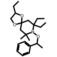 CCC1COC2(CC(C)(C)N(OC(C)c3ccccc3)C(CC)(CC)C2)O1